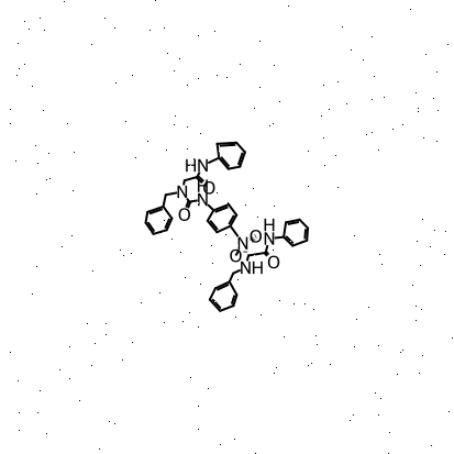 O=C(CN(Cc1ccccc1)C(=O)Nc1ccc([N+](=O)[O-])cc1)Nc1ccccc1.O=C(CNCc1ccccc1)Nc1ccccc1